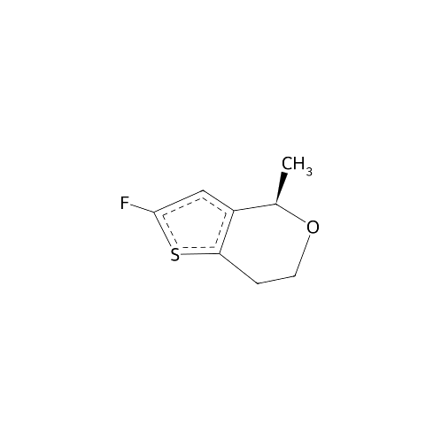 C[C@H]1OCCc2sc(F)cc21